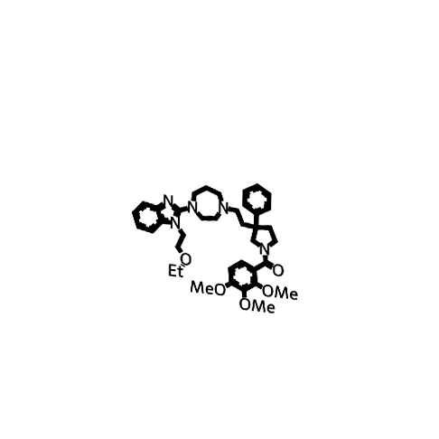 CCOCCn1c(N2CCCN(CCC3(c4ccccc4)CCN(C(=O)c4ccc(OC)c(OC)c4OC)C3)CC2)nc2ccccc21